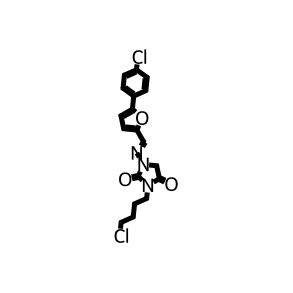 O=C1CN(/N=C/c2ccc(-c3ccc(Cl)cc3)o2)C(=O)N1CCCCCl